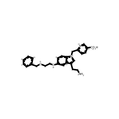 NCCc1cn(Cc2ccc(C(=O)O)cn2)c2ccc(OCCOCc3ccccc3)cc12